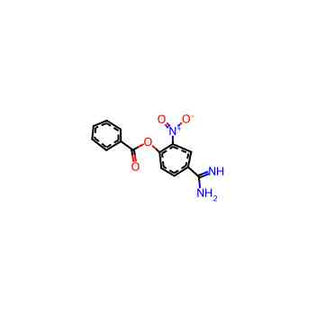 N=C(N)c1ccc(OC(=O)c2ccccc2)c([N+](=O)[O-])c1